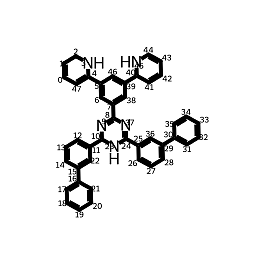 C1=CCNC(c2cc(C3=NC(c4cccc(-c5ccccc5)c4)NC(c4cccc(-c5ccccc5)c4)=N3)cc(C3C=CC=CN3)c2)=C1